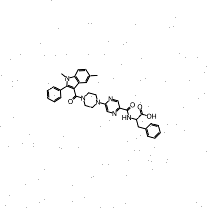 Cc1ccc2c(c1)c(C(=O)N1CCN(c3cnc(C(=O)NC(Cc4ccccc4)C(=O)O)cn3)CC1)c(-c1ccccc1)n2C